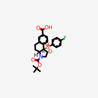 CC(C)(C)OC(=O)N1CC[C@@]2(S(=O)(=O)c3ccc(F)cc3)c3ccc(C(=O)O)cc3CC[C@@H]12